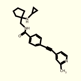 Cc1cc(C#Cc2ccc(C(=O)NCC3(NC4CC4)CCCC3)cc2)ccn1